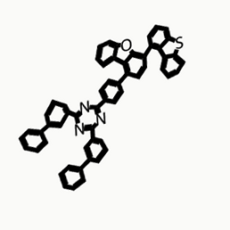 c1ccc(-c2cccc(-c3nc(-c4ccc(-c5ccc(-c6cccc7sc8ccccc8c67)c6oc7ccccc7c56)cc4)nc(-c4cccc(-c5ccccc5)c4)n3)c2)cc1